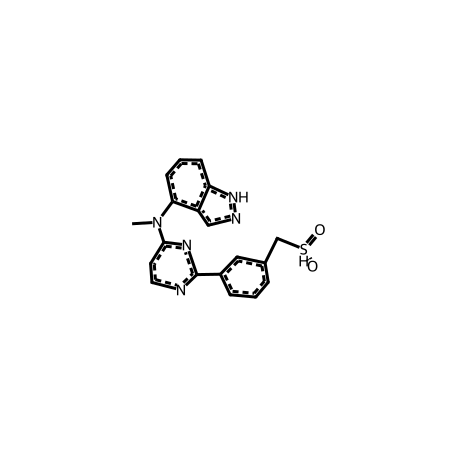 CN(c1ccnc(-c2cccc(C[SH](=O)=O)c2)n1)c1cccc2[nH]ncc12